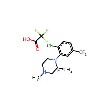 C[C@H]1CN(C)CCN1c1cc(C(F)(F)F)ccc1Cl.O=C(O)C(F)(F)F